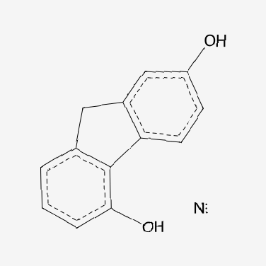 Oc1ccc2c(c1)Cc1cccc(O)c1-2.[N]